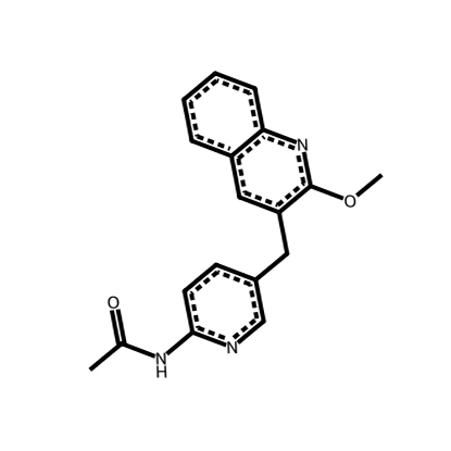 COc1nc2ccccc2cc1Cc1ccc(NC(C)=O)nc1